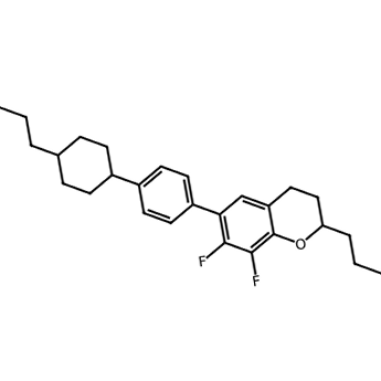 CCCC1CCC(c2ccc(-c3cc4c(c(F)c3F)OC(CCC)CC4)cc2)CC1